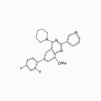 COc1cc(-c2ccc(F)cc2F)cc2c(N3CCCCC3)nc(-c3cccnc3)nc12